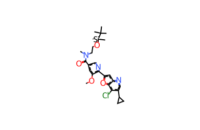 COc1cc(C(=O)N(C)CCO[Si](C)(C)C(C)(C)C)cnc1-c1cc2ncc(C3CC3)c(Cl)c2o1